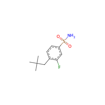 CC(C)(C)Cc1ccc(S(N)(=O)=O)cc1F